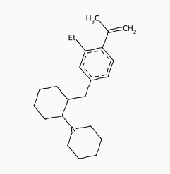 C=C(C)c1ccc(CC2CCCCC2N2CCCCC2)cc1CC